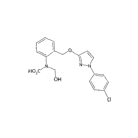 O=C(O)N(CO)c1ccccc1COc1ccn(-c2ccc(Cl)cc2)n1